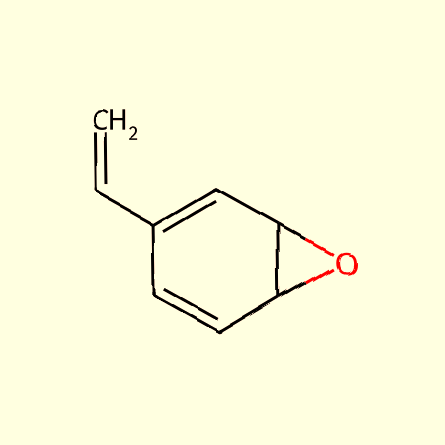 C=CC1=CC2OC2C=C1